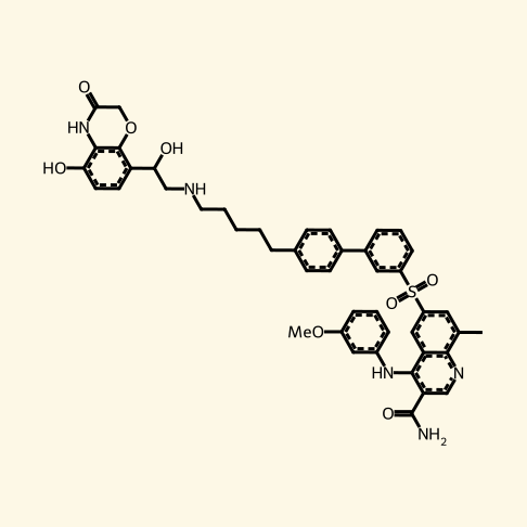 COc1cccc(Nc2c(C(N)=O)cnc3c(C)cc(S(=O)(=O)c4cccc(-c5ccc(CCCCCNCC(O)c6ccc(O)c7c6OCC(=O)N7)cc5)c4)cc23)c1